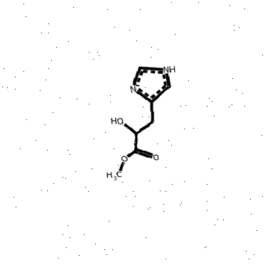 COC(=O)C(O)Cc1c[nH]cn1